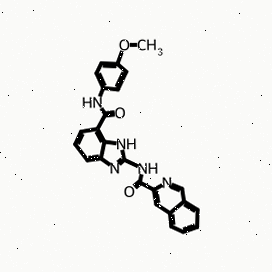 COc1ccc(NC(=O)c2cccc3nc(NC(=O)c4cc5ccccc5cn4)[nH]c23)cc1